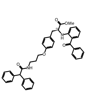 COC(=O)[C@H](Cc1ccc(OCCCNC(=O)C(c2ccccc2)c2ccccc2)cc1)Nc1ccccc1C(=O)c1ccccc1